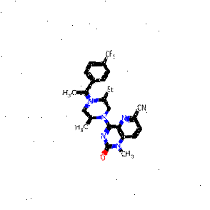 CCC1CN(c2nc(=O)n(C)c3ccc(C#N)nc23)C(C)CN1C(C)c1ccc(C(F)(F)F)cc1